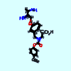 COc1ccc(OC(=O)N(CC(=O)O)Cc2cccc(OCC(=N)C(C)=N)c2)cc1